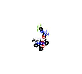 COC(=O)NC(C(=O)Nc1ccccc1CC[C@@H]1CN[C@H](c2nc3c(F)c(F)c(F)cc3[nH]2)CO1)C(c1ccccc1)c1ccccc1